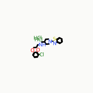 Cl.Cl.Clc1cccc2c1OC(CNCC1CCN(c3nc4ccccc4s3)CC1)CO2